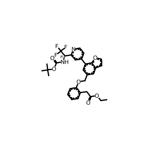 CCOC(=O)Cc1ccccc1OCc1cc(-c2ccnc([C@@H](NC(=O)OC(C)(C)C)C(F)(F)F)c2)c2occc2c1